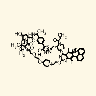 C=CC(=O)N1CCN(c2nc(OCCN3CCC(OCCOCC(=O)N[C@H](C(=O)N4C[C@H](O)C[C@H]4C(=O)N[C@@H](C)c4ccc(-c5scnc5C)cc4)C(C)(C)C)CC3)nc3c(F)c(-c4cccc5cccc(C)c45)c(Cl)cc23)C[C@@H]1CC#N